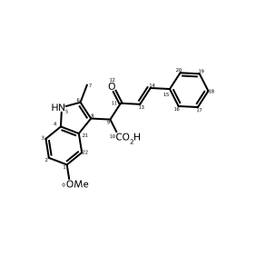 COc1ccc2[nH]c(C)c(C(C(=O)O)C(=O)C=Cc3ccccc3)c2c1